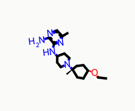 CCO[C@H]1CC[C@](C)(N2CCC(Nc3nc(C)cnc3N)CC2)CC1